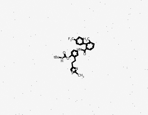 Cc1nc(CCc2cc(NC(=O)c3cccc(C)c3-c3ccc(C(F)(F)F)cc3)ccc2OC(=O)NC(C)(C)C)cs1